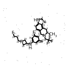 C[C@@H]1Cc2c(ccc3[nH]cnc23)[C@@H](c2c(F)cc(NC3CN(CCCF)C3)cc2F)N1CC(F)(F)F